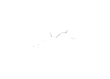 CC(C)OC(=O)C=CC(=O)OCC1CO1